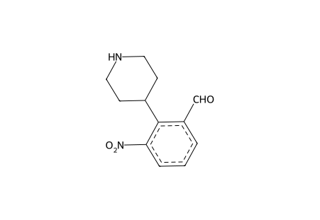 O=Cc1cccc([N+](=O)[O-])c1C1CCNCC1